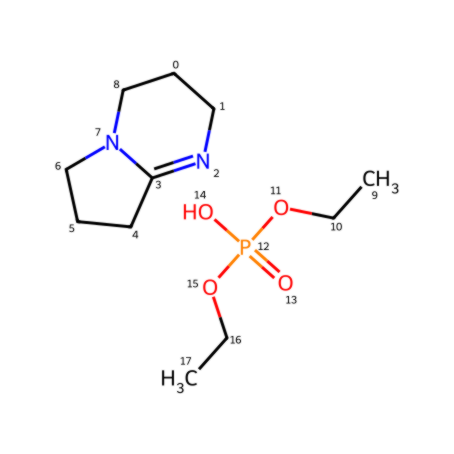 C1CN=C2CCCN2C1.CCOP(=O)(O)OCC